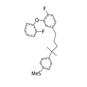 CSc1ccc(C(C)(C)CCCc2ccc(F)c(Oc3ccccc3F)c2)cc1